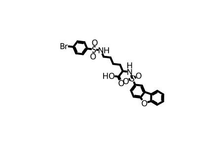 O=C(O)C(CCCCNS(=O)(=O)c1ccc(Br)cc1)NS(=O)(=O)c1ccc2oc3ccccc3c2c1